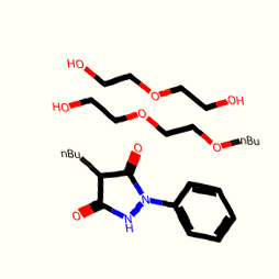 CCCCC1C(=O)NN(c2ccccc2)C1=O.CCCCOCCOCCO.OCCOCCO